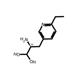 CCc1ccc(C[C@H](N)C(O)O)cn1